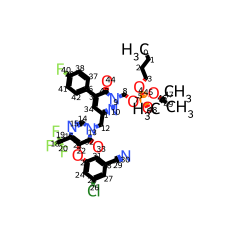 CCCCOP(=O)(OCn1nc(Cn2cnc(C(F)(F)F)c(Oc3cc(Cl)cc(C#N)c3)c2=O)cc(-c2ccc(F)cc2)c1=O)OC(C)(C)C